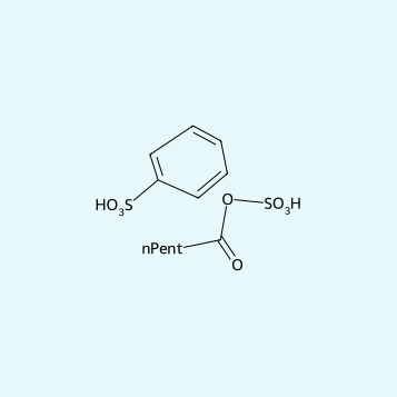 CCCCCC(=O)OS(=O)(=O)O.O=S(=O)(O)c1ccccc1